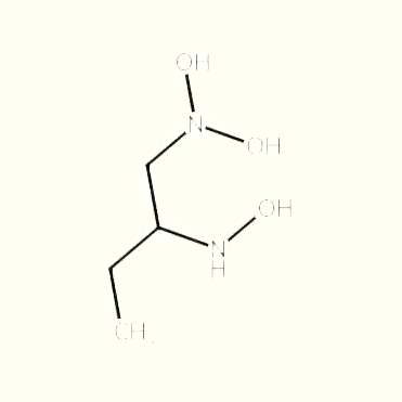 CCC(CN(O)O)NO